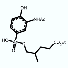 CCOC(=O)CCC(C)CO[As](=O)(O)c1ccc(O)c(NC(C)=O)c1